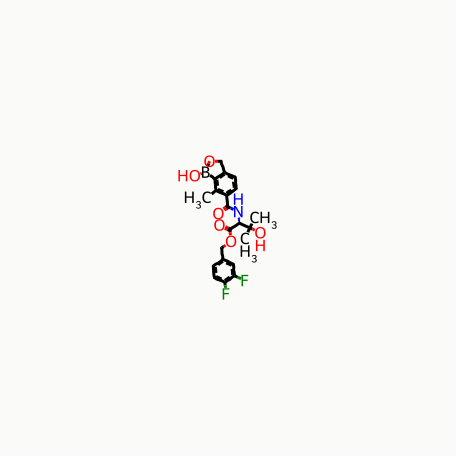 Cc1c(C(=O)N[C@H](C(=O)OCc2ccc(F)c(F)c2)C(C)(C)O)ccc2c1B(O)OC2